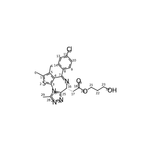 Cc1sc2c(c1C)C(c1ccc(Cl)cc1)=N[C@H](CC(=O)OCCCO)c1nnc(C)n1-2